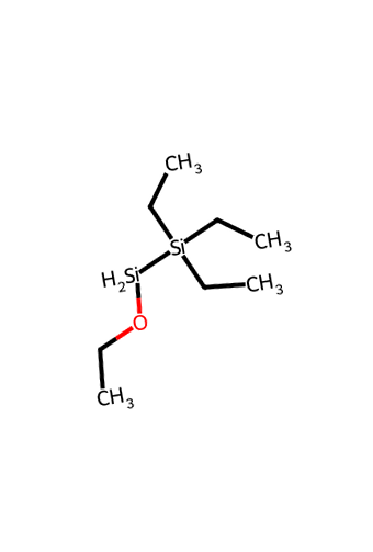 CCO[SiH2][Si](CC)(CC)CC